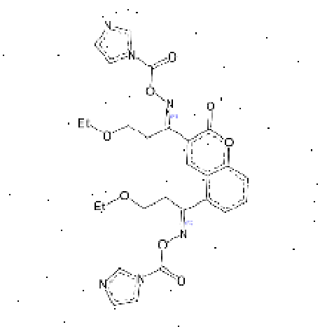 CCOCC/C(=N\OC(=O)n1ccnc1)c1cc2c(/C(CCOCC)=N/OC(=O)n3ccnc3)cccc2oc1=O